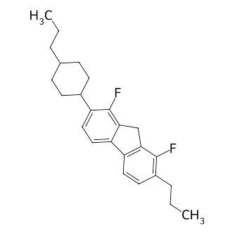 CCCc1ccc2c(c1F)Cc1c-2ccc(C2CCC(CCC)CC2)c1F